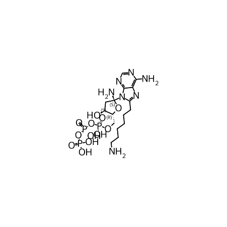 NCCCCCCc1nc2c(N)ncnc2n1[C@@]1(N)C[C@H](O)[C@@H](COP(=O)(O)OP(=O)(O)OP(=O)(O)O)O1